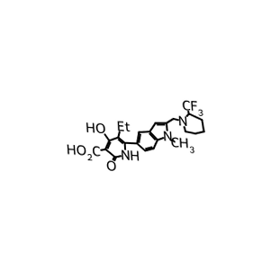 CCc1c(-c2ccc3c(c2)cc(CN2CCCCC2C(F)(F)F)n3C)[nH]c(=O)c(C(=O)O)c1O